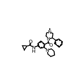 CN1CCN(C(=O)c2ccc(NC(=O)C3CC3)cc2N2CCCCC2)C(c2ccccc2)C1